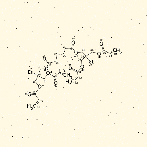 C=CC(=O)OCC(CC)(COC(=O)C=C)COC(=O)CCCCC(=O)OCC(CC)(COC(=O)C=C)COC(=O)C=C